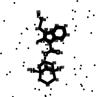 Cc1c(C(=O)O[C@H]2C[C@H]3CCC[C@@H](C2)N3C)c2ccccc2n1CCF